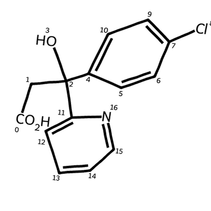 O=C(O)CC(O)(c1ccc(Cl)cc1)c1ccccn1